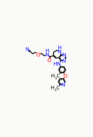 Cc1ccc(Oc2ccc(Nc3ncnc4c3C=C(C(=O)NCCOCCC#N)CCN4)cc2C)cn1